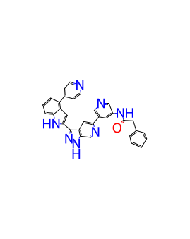 O=C(Cc1ccccc1)Nc1cncc(-c2cc3c(-c4cc5c(-c6ccncc6)cccc5[nH]4)n[nH]c3cn2)c1